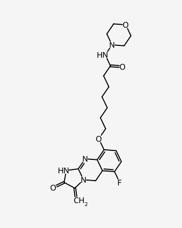 C=c1c(=O)[nH]c2n1Cc1c(F)ccc(OCCCCCCC(=O)NN3CCOCC3)c1N=2